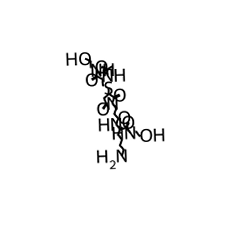 CC(=O)NC(CSC1CC(=O)N(CCC(=O)NC(CCCCN)C(=O)NCCO)C1=O)C(=O)NCCO